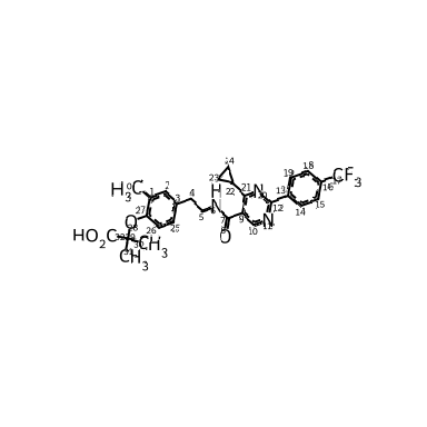 Cc1cc(CCNC(=O)c2cnc(-c3ccc(C(F)(F)F)cc3)nc2C2CC2)ccc1OC(C)(C)C(=O)O